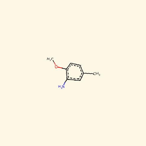 COc1c[c]c(C)cc1N